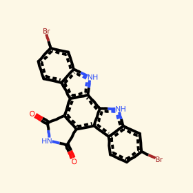 O=C1NC(=O)c2c1c1c3ccc(Br)cc3[nH]c1c1[nH]c3cc(Br)ccc3c21